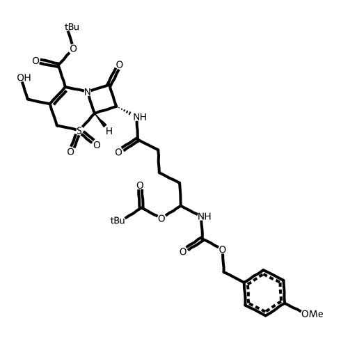 COc1ccc(COC(=O)NC(CCCC(=O)N[C@H]2C(=O)N3C(C(=O)OC(C)(C)C)=C(CO)CS(=O)(=O)[C@@H]23)OC(=O)C(C)(C)C)cc1